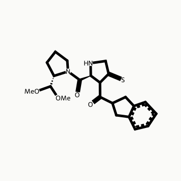 COC(OC)[C@@H]1CCCN1C(=O)[C@H]1NCC(=S)C1C(=O)C1Cc2ccccc2C1